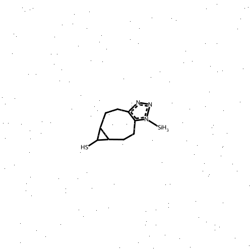 [SiH3]n1nnc2c1CCC1C(S)C1CC2